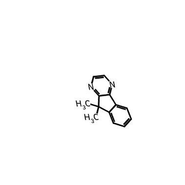 CC1(C)c2ccccc2-c2nccnc21